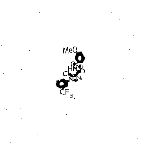 COc1cccc(S(=O)(=O)NC(=O)c2ncn(-c3cccc(C(F)(F)F)c3)c2Cl)c1